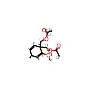 COC1=CCC=CC1(COC(C)=O)COC(C)=O